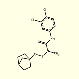 CN(SOC12CCC(CC1)C2)C(=O)Nc1ccc(Cl)c(Cl)c1